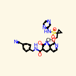 Cn1c(=O)c(C(=O)NCc2ccc(C#N)cc2)cc2ccnc(OCC3(S(=O)(=O)Nc4cnccn4)CC3)c21